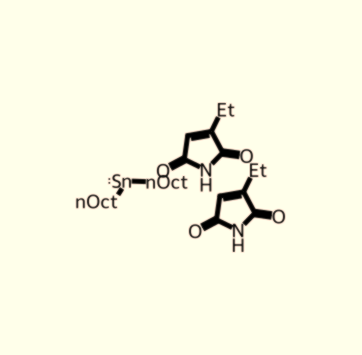 CCC1=CC(=O)NC1=O.CCC1=CC(=O)NC1=O.CCCCCCC[CH2][Sn][CH2]CCCCCCC